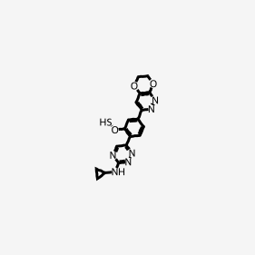 SOc1cc(-c2cc3c(nn2)OCCO3)ccc1-c1cnc(NC2CC2)nn1